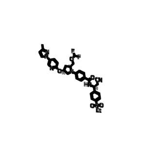 CCS(=O)(=O)c1ccc([C@H](CC#N)NC(=O)c2ccc(N3C[C@@H](Oc4ccc(-n5ccc(C)n5)cn4)C[C@H]3COC(F)F)cc2)cc1